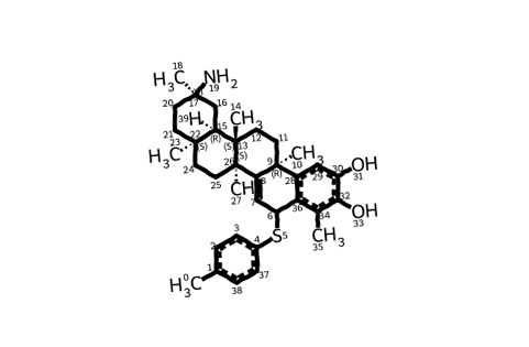 Cc1ccc(SC2C=C3[C@@](C)(CC[C@@]4(C)[C@@H]5C[C@](C)(N)CC[C@]5(C)CC[C@]34C)c3cc(O)c(O)c(C)c32)cc1